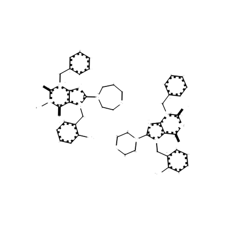 CCCn1c(=O)c2c(nc(N3CCCNCC3)n2Cc2ccccc2C#N)n(Cc2ccccc2)c1=O.N#Cc1ccccc1Cn1c(N2CCNCC2)nc2c1c(=O)[nH]c(=O)n2Cc1ccccc1